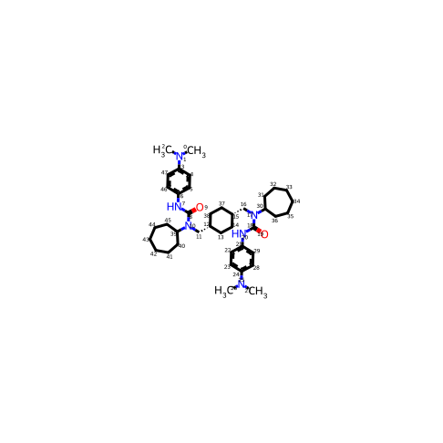 CN(C)c1ccc(NC(=O)N(C[C@H]2CC[C@@H](CN(C(=O)Nc3ccc(N(C)C)cc3)C3CCCCCC3)CC2)C2CCCCCC2)cc1